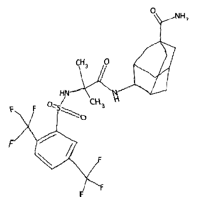 CC(C)(NS(=O)(=O)c1cc(C(F)(F)F)ccc1C(F)(F)F)C(=O)NC1C2CC3CC1CC(C(N)=O)(C3)C2